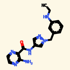 N#CCNc1cccc(Cn2cc(NC(=O)c3nccnc3N)cn2)c1